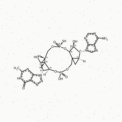 Cc1nc2c(nnn2[C@@H]2O[C@@H]3CO[P@@](=O)(S)O[C@H]4[C@@H](O)[C@H](n5cnc6c(N)ncnc65)[C@H]5CC54COP(=O)(O)O[C@@H]2[C@@H]3CO)c(=O)[nH]1